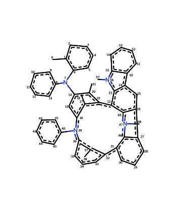 Cc1ccccc1N(c1ccccc1)c1cc2c(C)c(c1C)c1c3c(cc4c5cccc(c6cccc(c6C)n2-c2ccccc2)c5n(C)c41)c1ccccc1n3C